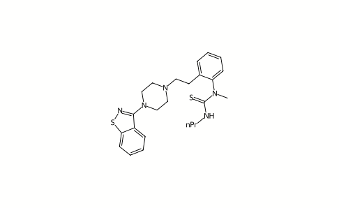 CCCNC(=S)N(C)c1ccccc1CCN1CCN(c2nsc3ccccc23)CC1